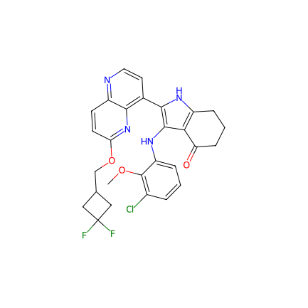 COc1c(Cl)cccc1Nc1c(-c2ccnc3ccc(OCC4CC(F)(F)C4)nc23)[nH]c2c1C(=O)CCC2